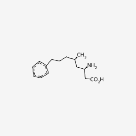 C[C@H](CCCc1ccccc1)C[C@@H](N)CC(=O)O